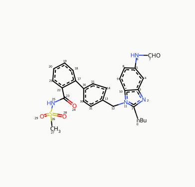 CCCCc1nc2cc(NC=O)ccc2n1Cc1ccc(-c2ccccc2C(=O)NS(C)(=O)=O)cc1